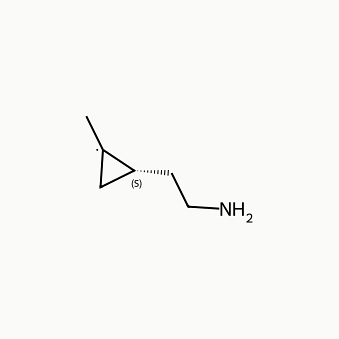 C[C]1C[C@H]1CCN